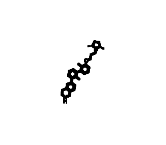 Cc1c(OCCCN2[C@H](C)CC[C@H]2C)cccc1-c1cccc(-c2ccc3c(c2)CCNC3)c1C